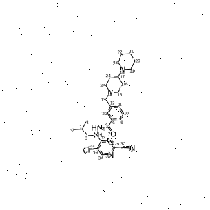 CC(C)CN(NC(=O)c1cccc(CN2CCC(N3CCCCC3)CC2)c1)c1nc(C#N)ncc1Cl